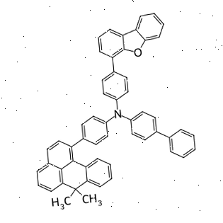 CC1(C)c2ccccc2-c2c(-c3ccc(N(c4ccc(-c5ccccc5)cc4)c4ccc(-c5cccc6c5oc5ccccc56)cc4)cc3)ccc3cccc1c23